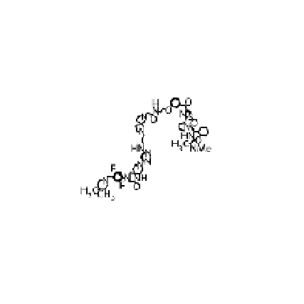 CN[C@@H](C)C(=O)N[C@H](C(=O)N1CCC[C@H]1c1nc(C(=O)c2cccc(OCCNC(=O)CN3CC[C@@]4(CCN(CCCNc5cc(N6CCC7(CC6)CN(c6cc(F)c(CN8CCC(C)(C)CC8)cc6F)CC(=O)N7)ncn5)C4)C3)c2)cs1)C1CCCCC1